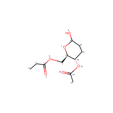 CCC(=O)OC[C@H]1OC(O)CC[C@@H]1OC(C)=O